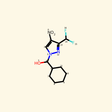 O=[N+]([O-])c1cn(C(O)C2CCCCC2)nc1C(F)F